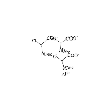 CCCCCCCCCCC(Cl)C(=O)[O-].CCCCCCCCCCC(Cl)C(=O)[O-].CCCCCCCCCCC(Cl)C(=O)[O-].[Al+3]